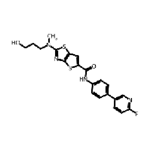 CN(CCCO)c1nc2sc(C(=O)Nc3ccc(-c4ccc(F)nc4)cc3)cc2s1